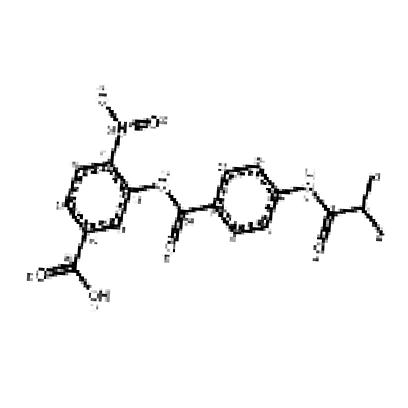 CC(C)C(=O)Nc1ccc(C(=O)Oc2cc(C(=O)O)ccc2[N+](=O)[O-])cc1